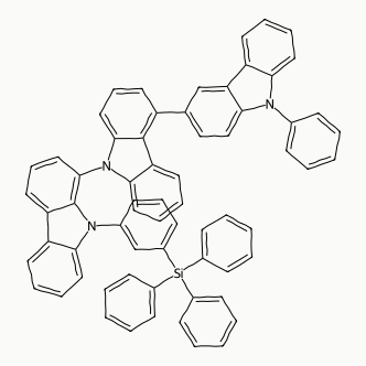 c1ccc(-n2c3ccccc3c3cc(-c4cccc5c4c4ccccc4n5-c4cccc5c6ccccc6n(-c6cccc([Si](c7ccccc7)(c7ccccc7)c7ccccc7)c6)c45)ccc32)cc1